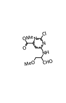 COCC(C=O)Nc1cc(C(=O)OC)nc(Cl)n1